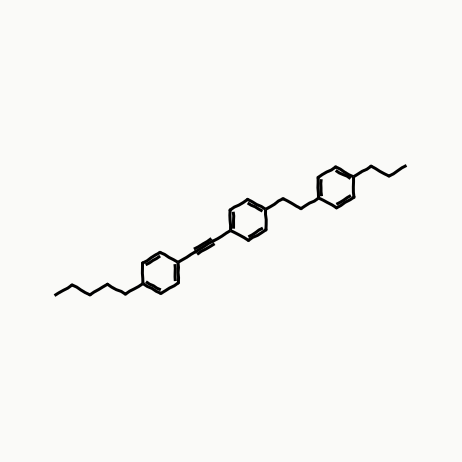 CCCCCc1ccc(C#Cc2ccc(CCc3ccc(CCC)cc3)cc2)cc1